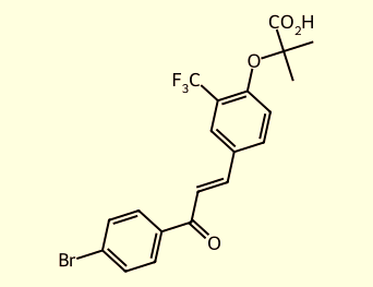 CC(C)(Oc1ccc(C=CC(=O)c2ccc(Br)cc2)cc1C(F)(F)F)C(=O)O